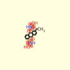 CCc1ccc2c(c1S(=O)(=O)NS(=O)(=O)O)C(=O)c1cccc(S(=O)(=O)NS(=O)(=O)O)c1C2=O